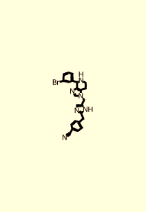 N#Cc1ccc(Cc2ncc(Cn3cnc4c3CCNC4c3cccc(Br)c3)[nH]2)cc1